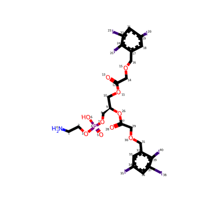 NCCOP(=O)(O)OC[C@@H](COC(=O)COCc1cc(I)cc(I)c1I)OC(=O)COCc1cc(I)cc(I)c1I